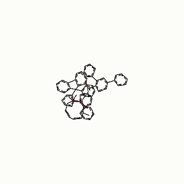 CC1/C=C\C=C/CC(C)(C)c2cc(N(c3ccc(-c4ccccc4)cc3-c3ccccc3)c3cccc4c3C3(c5ccccc5-4)c4ccccc4N(c4ccccc4)c4ccccc43)ccc21